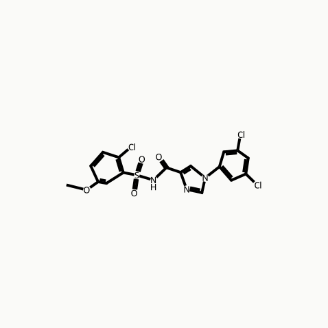 COc1ccc(Cl)c(S(=O)(=O)NC(=O)c2cn(-c3cc(Cl)cc(Cl)c3)cn2)c1